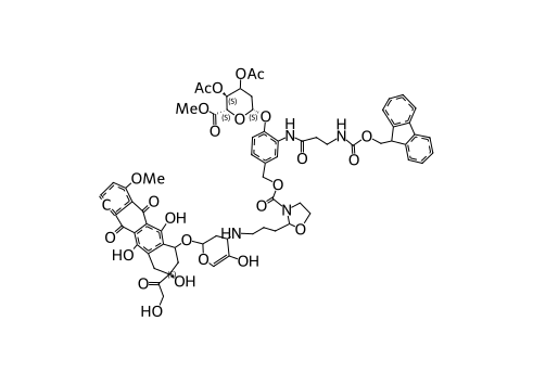 COC(=O)[C@H]1O[C@@H](Oc2ccc(COC(=O)N3CCOC3CCCNC3CC(OC4C[C@](O)(C(=O)CO)Cc5c(O)c6c(c(O)c54)C(=O)c4c(OC)cccc4C6=O)OC=C3O)cc2NC(=O)CCNC(=O)OCC2c3ccccc3-c3ccccc32)CC(OC(C)=O)[C@@H]1OC(C)=O